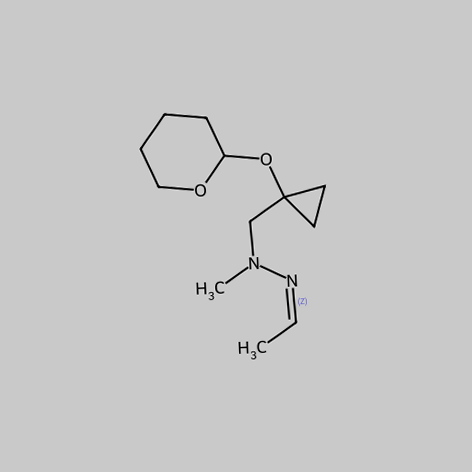 C/C=N\N(C)CC1(OC2CCCCO2)CC1